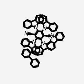 N#Cc1c(-n2c3ccccc3c3ccccc32)c(-n2c3ccccc3c3ccccc32)c(C#N)c(-n2c3cc(-c4ccccc4-c4ccccc4)ccc3c3ccc4c5ccccc5sc4c32)c1-n1c2ccccc2c2ccccc21